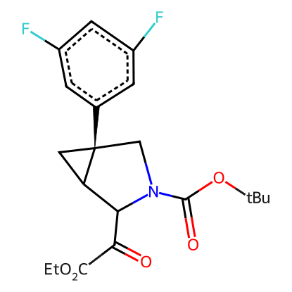 CCOC(=O)C(=O)C1C2C[C@]2(c2cc(F)cc(F)c2)CN1C(=O)OC(C)(C)C